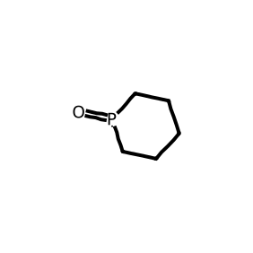 O=[P]1CCCCC1